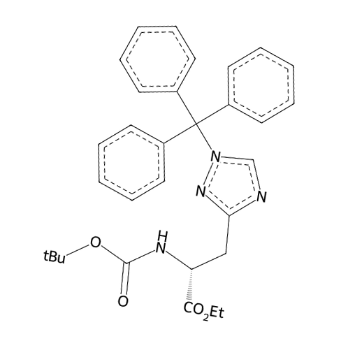 CCOC(=O)[C@@H](Cc1ncn(C(c2ccccc2)(c2ccccc2)c2ccccc2)n1)NC(=O)OC(C)(C)C